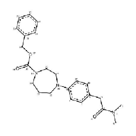 CN(C)C(=O)Cc1ccc(N2CCCN(C(=O)OCc3ccccc3)CC2)cc1